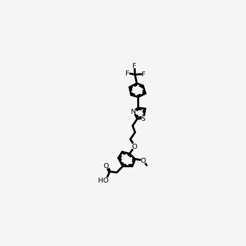 COc1cc(CC(=O)O)ccc1OCCCc1nc(-c2ccc(C(F)(F)F)cc2)cs1